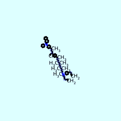 C=C/C=C\C=C\N(/C(C)=C/C=C(C)/C(C)=C/C=C(C)/C(C)=C/C=C(\C)C1=CC=C(/C(=C/C=C(\C)c2ccc(N(c3ccccc3)c3ccc4ccccc4c3)cc2)CC)CC1)c1ccc(/C=C\C=C)cc1